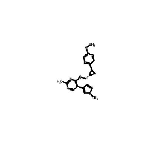 COc1ccc(C2C[C@@H]2COc2nc(C)ncc2-c2cnn(C)c2)nc1